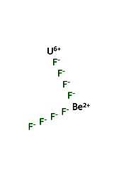 [Be+2].[F-].[F-].[F-].[F-].[F-].[F-].[F-].[F-].[U+6]